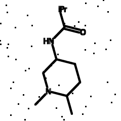 CC(C)C(=O)NC1CCC(C)N(C)C1